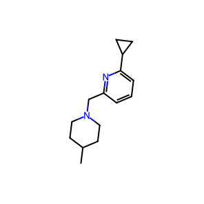 CC1CCN(Cc2cccc(C3CC3)n2)CC1